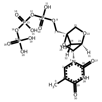 Cc1cn([C@@H]2O[C@@]3(COP(=O)(O)OP(=O)(O)OP(=O)(O)O)CO[C@@H]2[C@@H]3S)c(=O)[nH]c1=O